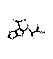 O=C(O)C(=O)Nc1sc2scnc2c1C(=O)O